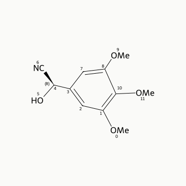 COc1cc([C@@H](O)C#N)cc(OC)c1OC